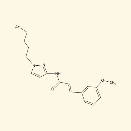 CC(=O)CCCCn1ccc(NC(=O)C=Cc2cccc(OC(F)(F)F)c2)n1